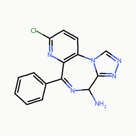 NC1N=C(c2ccccc2)c2nc(Cl)ccc2-n2cnnc21